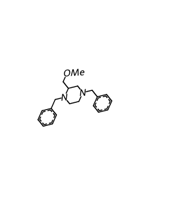 COCC1CN(Cc2ccccc2)CCN1Cc1ccccc1